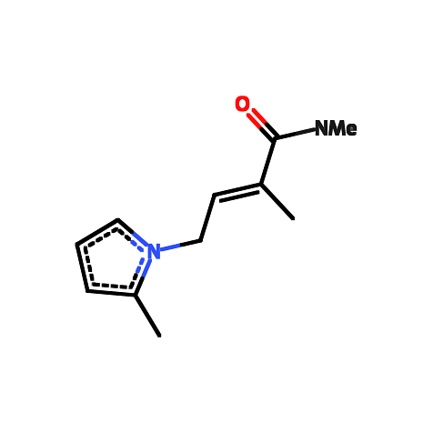 CNC(=O)/C(C)=C/Cn1cccc1C